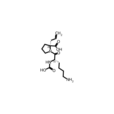 C=CC[C@@]1(C(=O)O)CCCN1C(=O)[C@H](CCCCN)NC(=O)O